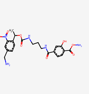 CC(OC(=O)NCCCNC(=O)c1ccc(C(=O)ON)c(O)c1)c1ccc(CN)cc1[N+](=O)[O-]